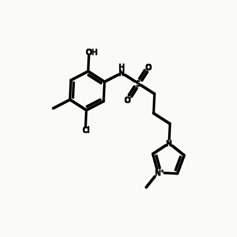 Cc1cc(O)c(NS(=O)(=O)CCCn2cc[n+](C)c2)cc1Cl